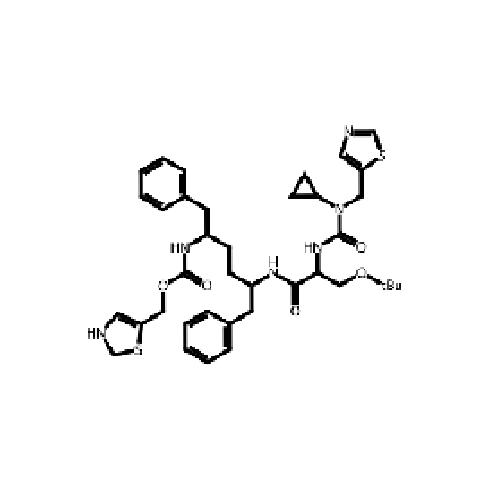 CC(C)(C)OCC(NC(=O)N(Cc1cncs1)C1CC1)C(=O)NC(CCC(Cc1ccccc1)NC(=O)OCC1=CNCS1)Cc1ccccc1